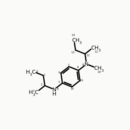 CCC(C)Nc1ccc(N(C)C(C)CC)cc1